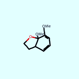 COC1=CC=CC2CCOC12OC